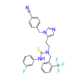 N#Cc1ccc(Cn2cncc2CCN(Cc2ccccc2C(F)(F)F)C(=S)Nc2cccc(F)c2)cc1